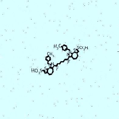 Cc1ccc(Cn2nc(/C(F)=C/CCC/C=C(\F)c3nn(Cc4ccc(C)cc4)c4c3CCCc3cc(S(=O)(=O)O)sc3-4)c3c2-c2sc(S(=O)(=O)O)cc2CCC3)cc1